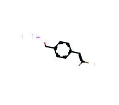 NOCc1ccc(C=C(Br)Br)cc1